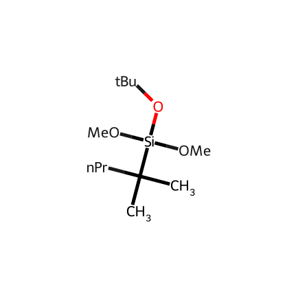 CCCC(C)(C)[Si](OC)(OC)OC(C)(C)C